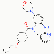 O=C([C@H]1CC[C@H](OCC(F)(F)F)CC1)N1Cc2cccnc2Nc2ccc(N3CCOCC3)cc21